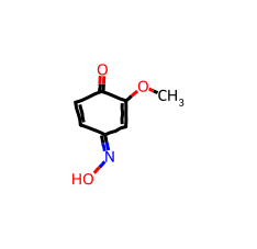 COC1=CC(=NO)C=CC1=O